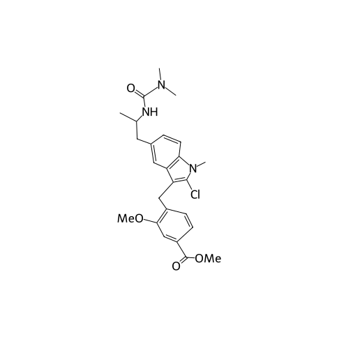 COC(=O)c1ccc(Cc2c(Cl)n(C)c3ccc(CC(C)NC(=O)N(C)C)cc23)c(OC)c1